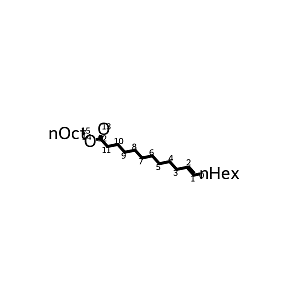 CCCCCC/C=C/CCCCCCCCCC(=O)OCCCCCCCC